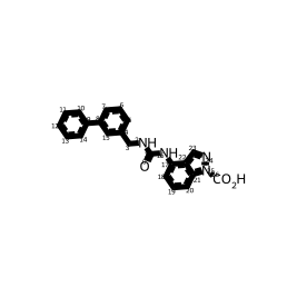 O=C(NCc1cccc(-c2ccccc2)c1)Nc1cccc2c1cnn2C(=O)O